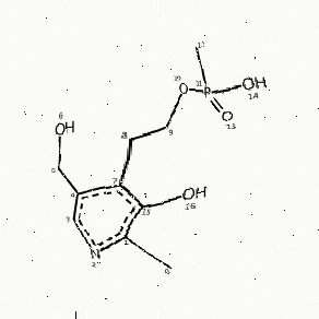 Cc1ncc(CO)c(CCOP(C)(=O)O)c1O